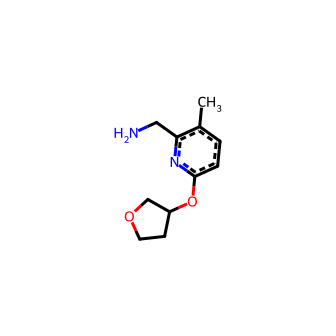 Cc1ccc(OC2CCOC2)nc1CN